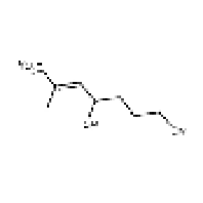 CC(=CC(O)CCCO)C(=O)O